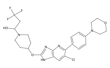 OC(CC(F)(F)F)N1CCC(Oc2nc3nc(-c4ccc(N5CCOCC5)cc4)c(Cl)cc3[nH]2)CC1